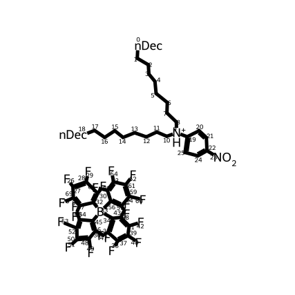 CCCCCCCCCCCCCCCCCC[NH+](CCCCCCCCCCCCCCCCCC)c1ccc([N+](=O)[O-])cc1.Fc1c(F)c(F)c([B-](c2c(F)c(F)c(F)c(F)c2F)(c2c(F)c(F)c(F)c(F)c2F)c2c(F)c(F)c(F)c(F)c2F)c(F)c1F